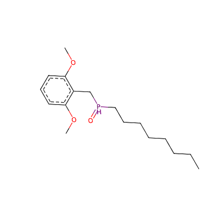 CCCCCCCC[PH](=O)Cc1c(OC)cccc1OC